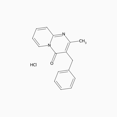 Cc1nc2ccccn2c(=O)c1Cc1ccccc1.Cl